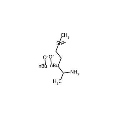 CCCC[O-].CCCC[O-].[CH3][Sn+2][CH2]CCC(C)N